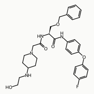 O=C(CN1CCC(NCCO)CC1)N[C@@H](COCc1ccccc1)C(=O)Nc1ccc(Oc2ccc(F)cc2)cc1